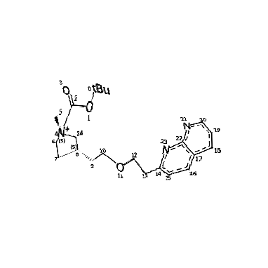 CC(C)(C)OC(=O)[N@@+]1(C)CC[C@@H](CCOCCc2ccc3cccnc3n2)C1